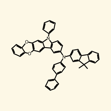 CC1(C)c2ccccc2-c2ccc(N(c3ccc(-c4ccccc4)cc3)c3ccc4c(c3)c3cc5c(cc3n4-c3ccccc3)Oc3ccccc3O5)cc21